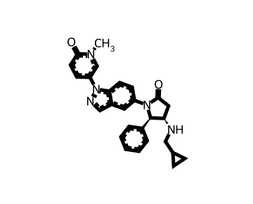 Cn1cc(-n2ncc3cc(N4C(=O)C[C@H](NCC5CC5)[C@H]4c4ccccc4)ccc32)ccc1=O